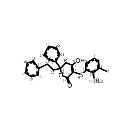 Cc1cccc(SC2=C(O)CC(CCc3ccccc3)(c3ccccc3)OC2=O)c1C(C)(C)C